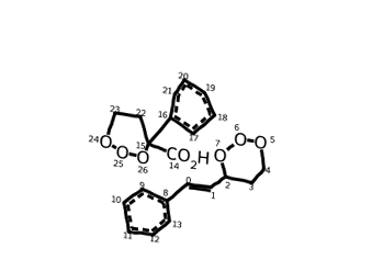 C(=CC1CCOOO1)c1ccccc1.O=C(O)C1(c2ccccc2)CCOOO1